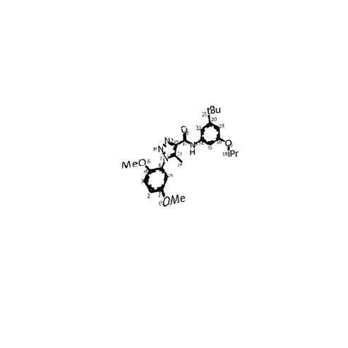 COc1ccc(OC)c(-n2nnc(C(=O)Nc3cc(OC(C)C)cc(C(C)(C)C)c3)c2C)c1